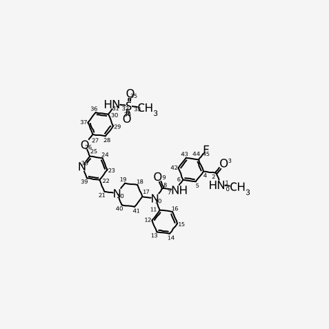 CNC(=O)c1cc(NC(=O)N(c2ccccc2)C2CCN(Cc3ccc(Oc4ccc(NS(C)(=O)=O)cc4)nc3)CC2)ccc1F